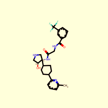 Cc1cccc(C2CCC([C@]3(NC(=O)CNC(=O)c4cccc(C(F)(F)F)c4)CNC[C@@H]3O)CC2)n1